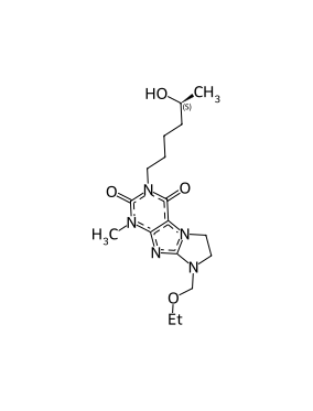 CCOCN1CCn2c1nc1c2c(=O)n(CCCC[C@H](C)O)c(=O)n1C